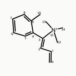 C=C/C=C(/c1ccccc1C)[N+](C)(C)C